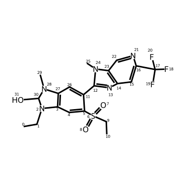 CCN1c2cc(S(=O)(=O)CC)c(-c3nc4cc(C(F)(F)F)ncc4n3C)cc2N(C)C1O